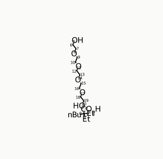 CCCCC(CC)(CC)C(=O)O.OCCOCCOCCOCCOCCO